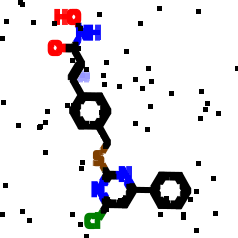 O=C(/C=C/c1ccc(CSc2nc(Cl)cc(-c3ccccc3)n2)cc1)NO